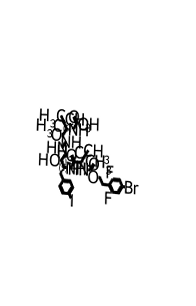 CC(C)(C)[C@H](NC(=O)O)C(=O)NNC[C@H](O)[C@H](Cc1ccc(I)cc1)NC(=O)[C@@H](NC(=O)OCCc1c(F)cc(Br)cc1F)C(C)(C)C